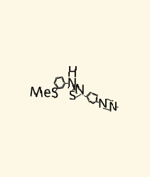 CSc1cccc(NC2=NC(c3ccc(N4CCN(C)CC4)cc3)CS2)c1